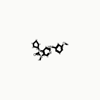 COc1cccc(Nc2cc3c(cn2)n(C)c(=O)n3C2CCCC2)c1